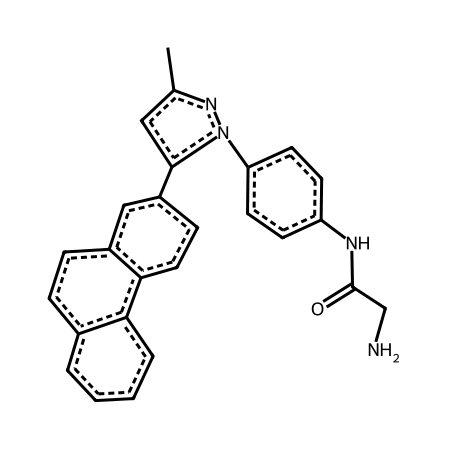 Cc1cc(-c2ccc3c(ccc4ccccc43)c2)n(-c2ccc(NC(=O)CN)cc2)n1